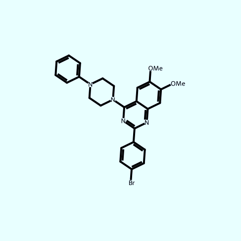 COc1cc2nc(-c3ccc(Br)cc3)nc(N3CCN(c4ccccc4)CC3)c2cc1OC